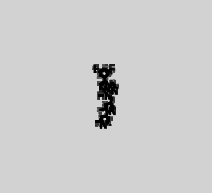 Cc1cc(-c2ncc(CNc3nccn4c(-c5cc(F)cc(F)c5)cnc34)cc2C)ccn1